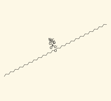 CCCCCCCCCCCCCCCCCCCCCCOCCCCCCCCCCCCCCCCCCCCCC.O=S(=O)([O-])[O-].[Na+].[Na+]